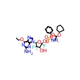 CCOc1nc(N)nc2c1ncn2[C@@H]1O[C@](F)(OO[P@@](=O)(N[C@@H](C)C(=O)OC2CCCCC2)Oc2ccccc2)[C@@H](O)[C@@]1(C)F